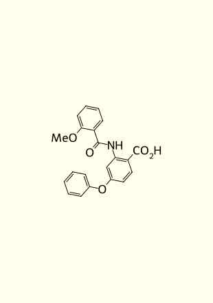 COc1ccccc1C(=O)Nc1cc(Oc2ccccc2)ccc1C(=O)O